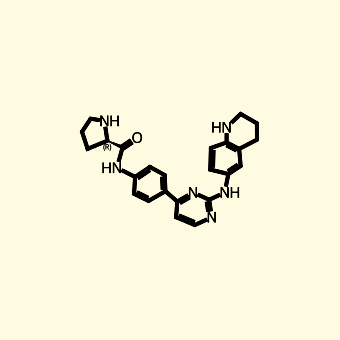 O=C(Nc1ccc(-c2ccnc(Nc3ccc4c(c3)CCCN4)n2)cc1)[C@H]1CCCN1